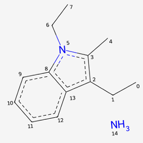 CCc1c(C)n(CC)c2ccccc12.N